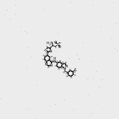 CS(=O)(=O)CC(N)c1csc(-c2ccc3ncnc(Nc4ccc5c(cnn5Cc5cccc(F)c5)c4)c3c2)n1